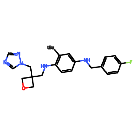 CC(C)(C)c1cc(NCc2ccc(F)cc2)ccc1NCC1(Cn2cncn2)COC1